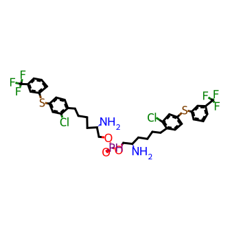 N[C@@H](CCCCc1ccc(Sc2cccc(C(F)(F)F)c2)cc1Cl)CO[PH](=O)OC[C@@H](N)CCCCc1ccc(Sc2cccc(C(F)(F)F)c2)cc1Cl